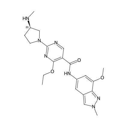 CCOc1nc(N2CC[C@@H](NC)C2)ncc1C(=O)Nc1cc(OC)c2nn(C)cc2c1